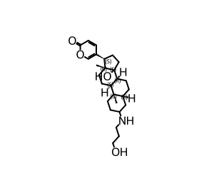 C[C@]12CCC(NCCCO)C[C@H]1CC[C@@H]1[C@@H]2CC[C@]2(C)[C@@H](c3ccc(=O)oc3)CC[C@]12O